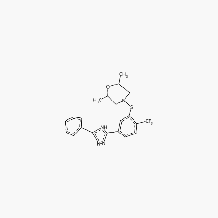 CC1CN(Sc2cc(-c3nnc(-c4ccccc4)[nH]3)ccc2C(F)(F)F)CC(C)O1